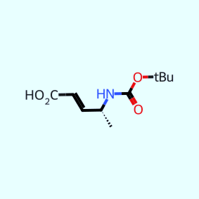 C[C@H](/C=C/C(=O)O)NC(=O)OC(C)(C)C